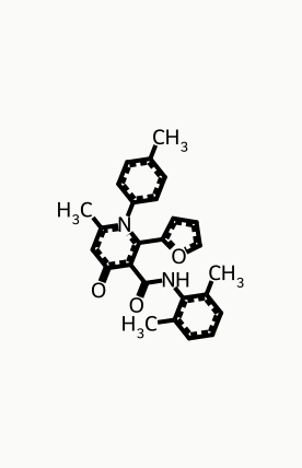 Cc1ccc(-n2c(C)cc(=O)c(C(=O)Nc3c(C)cccc3C)c2-c2ccco2)cc1